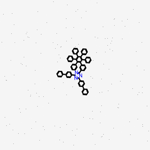 c1ccc(-c2ccc(-c3nc(-c4ccc(-c5ccccc5)cc4)nc(-c4cccc(-c5c(-c6ccccc6)c(-c6ccccc6)c(-c6ccccc6)c(-c6ccccc6)c5-c5ccccc5)c4)n3)cc2)cc1